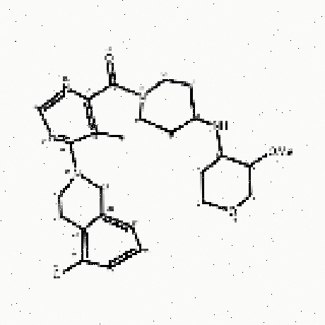 COC1COCCC1NC1CCN(C(=O)c2ncnc(N3CCc4c(Cl)cccc4C3)c2C)CC1